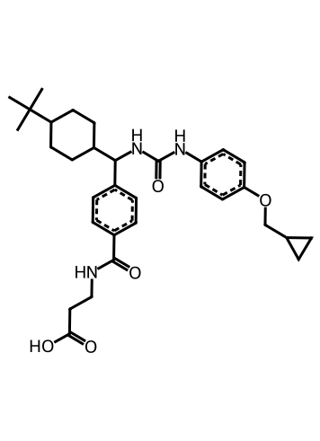 CC(C)(C)C1CCC(C(NC(=O)Nc2ccc(OCC3CC3)cc2)c2ccc(C(=O)NCCC(=O)O)cc2)CC1